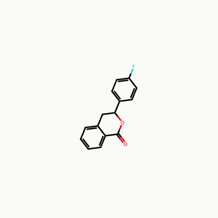 O=C1OC(c2ccc(F)cc2)Cc2ccccc21